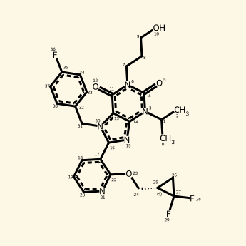 CC(C)n1c(=O)n(CCCO)c(=O)c2c1nc(-c1cccnc1OC[C@@H]1CC1(F)F)n2Cc1ccc(F)cc1